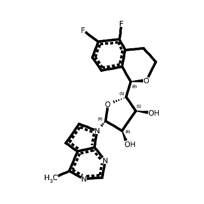 Cc1ncnc2c1ccn2[C@@H]1O[C@H]([C@@H]2OCCc3c2ccc(F)c3F)[C@@H](O)[C@H]1O